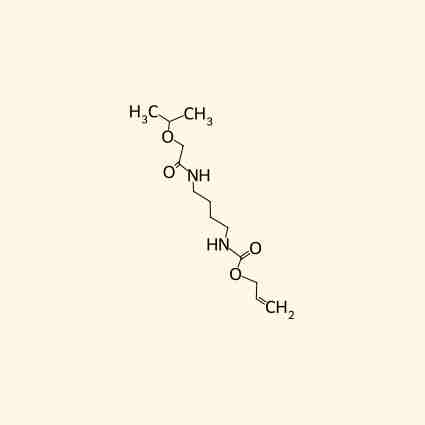 C=CCOC(=O)NCCCCNC(=O)COC(C)C